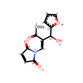 COC(=O)C(=CN1C(=O)C=CC1=O)C(O)c1ccco1